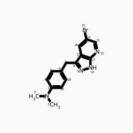 CN(C)c1ccc(Cc2n[nH]c3ncc(Br)cc23)cc1